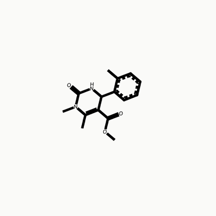 COC(=O)C1=C(C)N(C)C(=O)NC1c1ccccc1C